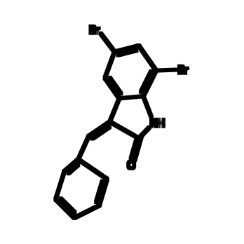 O=C1Nc2c(Br)cc(Br)cc2C1=Cc1ccccc1